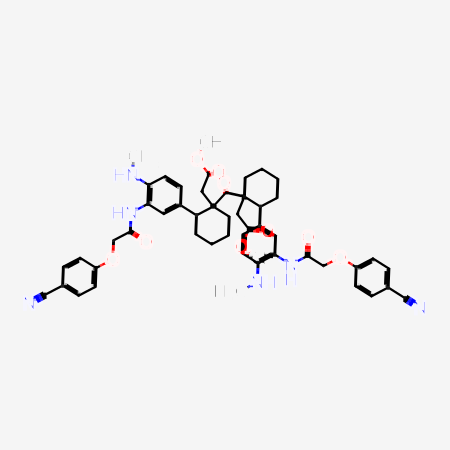 CNc1ccc(C2CCCCC2(CC(=O)OC)C(=O)C2(CC(=O)OC)CCCCC2c2ccc(NC)c(NC(=O)COc3ccc(C#N)cc3)c2)cc1NC(=O)COc1ccc(C#N)cc1